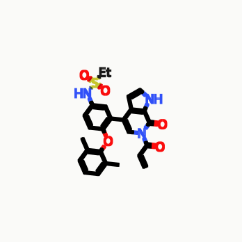 C=CC(=O)n1cc(-c2cc(NS(=O)(=O)CC)ccc2Oc2c(C)cccc2C)c2cc[nH]c2c1=O